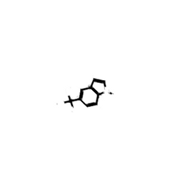 Cn1ccc2cc(C(F)(F)F)ccc21